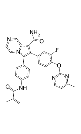 C=C(C)C(=O)Nc1ccc(-c2c(-c3ccc(Oc4nccc(C)n4)c(F)c3)c(C(N)=O)c3cnccn23)cc1